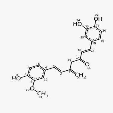 C=C(/C=C/c1ccc(O)c(OC)c1)CC(=O)/C=C/c1ccc(O)c(O)c1